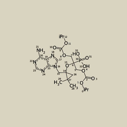 CC(C)OC(=O)OCC(COC(=O)OC(C)C)(OC1(Cn2cnc3c(N)ncnc32)CC1(C)C)P(=O)(O)O